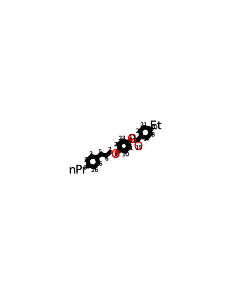 CCCC1CCC(CCCOc2ccc(OC(=O)C3CCC(CC)CC3)cc2)CC1